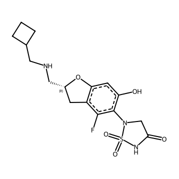 O=C1CN(c2c(O)cc3c(c2F)C[C@H](CNCC2CCC2)O3)S(=O)(=O)N1